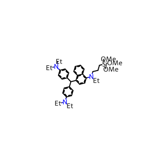 CCN(CC)c1ccc(C(c2ccc(N(CC)CC)cc2)c2ccc(N(CC)CCC[Si](OC)(OC)OC)c3ccccc23)cc1